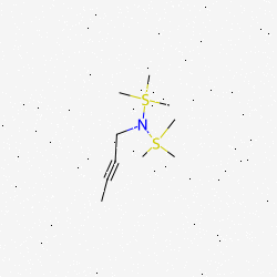 CC#CCN(S(C)(C)C)S(C)(C)C